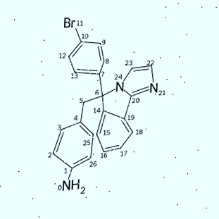 Nc1ccc(CC2(c3ccc(Br)cc3)c3ccccc3-c3nccn32)cc1